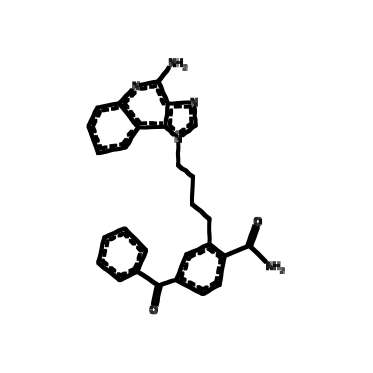 NC(=O)c1ccc(C(=O)c2ccccc2)cc1CCCCn1cnc2c(N)nc3ccccc3c21